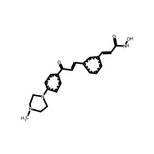 CN1CCN(c2ccc(C(=O)C=Cc3cccc(C=CC(=O)NO)c3)cc2)CC1